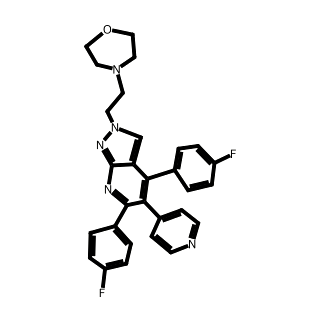 Fc1ccc(-c2nc3nn(CCN4CCOCC4)cc3c(-c3ccc(F)cc3)c2-c2ccncc2)cc1